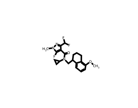 COc1cccc2c1CCCC2CN(C(=O)c1c(C(F)F)nn(C)c1F)C1CC1